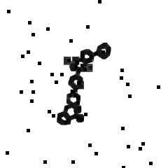 Nc1ccc(-c2ccccc2)cc1NC(=O)c1ccc(N2CCC3(CC2)Cc2ccccc2C(=O)O3)nc1